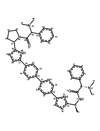 C[C@H](NC(=O)[C@H](c1ccccc1)N(C)C)c1ncc(-c2cnc(-c3ccc(-c4cnc(C5CCCN5C(=O)C(c5ccccc5)N(C)C)[nH]4)cc3)nc2)[nH]1